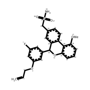 C=CCOc1cc(F)cc(C2Oc3cccc(OC)c3-c3ccc(CS(N)(=O)=O)cc32)c1